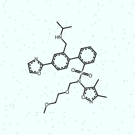 COCCOCN(c1onc(C)c1C)S(=O)(=O)c1ccccc1-c1ccc(-c2ncco2)cc1CNC(C)C